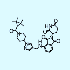 CC1(C)C(C(=O)N2CCC(n3cc(CNc4cccc5c4C(=O)N(C4CCC(=O)NC4=O)C5=O)cn3)CC2)C1(C)C